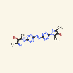 CC(=N)/C(Br)=C(/C)Nc1nnc(N=Nc2nnc(-n3nc(C)c(Br)c3C)nn2)nn1